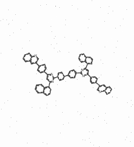 c1ccc2ncc(-c3ccc(-c4cc(-c5cccc6ccccc56)nc(-c5ccc(-c6ccc(-c7nc(-c8ccc(-c9cnc%10ccccc%10c9)cc8)cc(-c8cccc9ccccc89)n7)cc6)cc5)n4)cc3)cc2c1